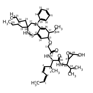 C/C=C\C=C/C(C)[C@@H](NC(=O)COC1C=C2SNC(CCCC)(CCCC)CN(c3ccccc3)C2=CC1SC)C(=O)NC(C(C)C)C1OC1O